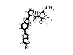 COC(=O)N[C@H](C(=O)N1CCCC1c1nc2ccc(-c3cc4sc(Br)cc4s3)cc2[nH]1)C(C)C